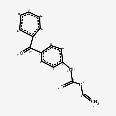 C=COC(=O)Nc1ccc(C(=O)c2ccccc2)cc1